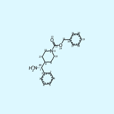 N[C@@H](c1ccccc1)C1CCN(C(=O)OCc2ccccc2)CC1